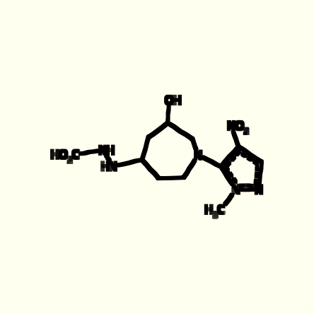 Cn1ncc([N+](=O)[O-])c1N1CCC(NNC(=O)O)CC(O)C1